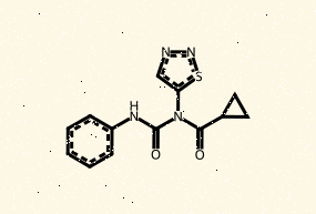 O=C(Nc1ccccc1)N(C(=O)C1CC1)c1cnns1